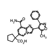 Cc1onc(-c2ccccc2)c1-c1cn2cc(C3(C(=O)O)CCCC3)cc(C(N)=O)c2n1